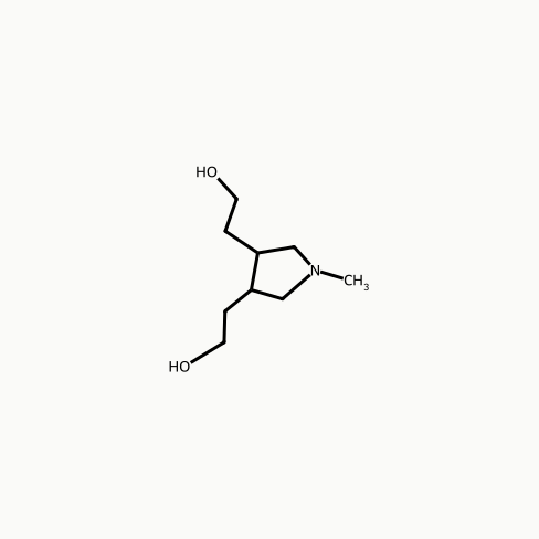 CN1CC(CCO)C(CCO)C1